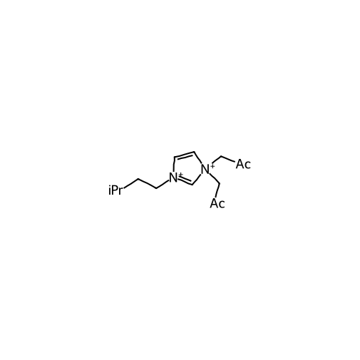 CC(=O)C[N+]1(CC(C)=O)C=C[N+](CCC(C)C)=C1